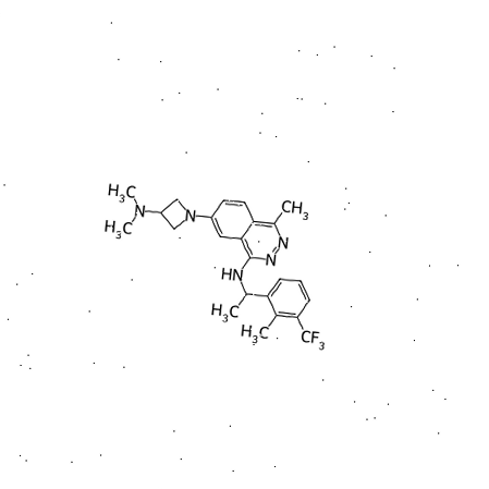 Cc1c(C(C)Nc2nnc(C)c3ccc(N4CC(N(C)C)C4)cc23)cccc1C(F)(F)F